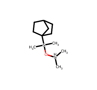 C[SiH](C)O[Si](C)(C)C12CCC(CC1)C2